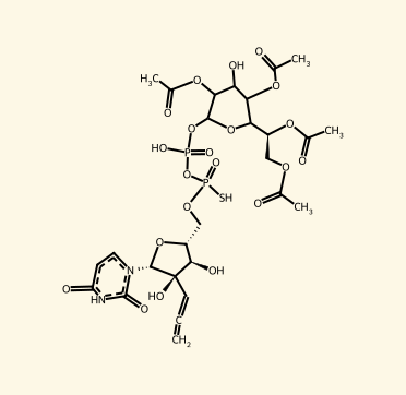 C=C=C[C@@]1(O)[C@H](O)[C@@H](COP(=O)(S)OP(=O)(O)OC2OC([C@H](COC(C)=O)OC(C)=O)C(OC(C)=O)C(O)C2OC(C)=O)O[C@H]1n1ccc(=O)[nH]c1=O